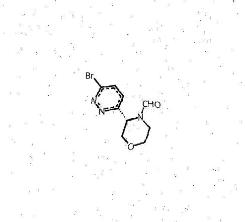 O=CN1CCOC[C@@H]1c1ccc(Br)nn1